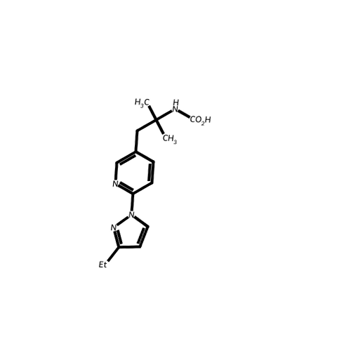 CCc1ccn(-c2ccc(CC(C)(C)NC(=O)O)cn2)n1